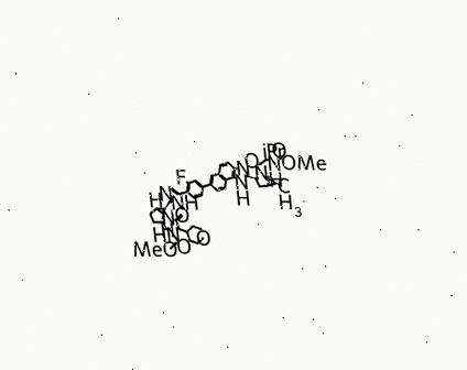 COC(=O)NC(C(=O)N1[C@@H]2CC[C@@H](C2)[C@H]1c1ncc(-c2ccc(-c3ccc4c(ccc5nc([C@@H]6CC7C([C@@H]7C)N6C(=O)[C@@H](NC(=O)OC)C(C)C)[nH]c54)c3)cc2F)[nH]1)C1CCOCC1